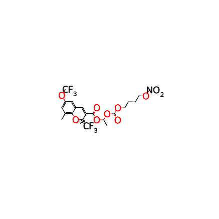 Cc1cc(OC(F)(F)F)cc2c1O[C@H](C(F)(F)F)C(C(=O)OC(C)OC(=O)OCCCCO[N+](=O)[O-])=C2